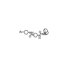 CC(=O)C1CCC(NC(=O)N2CCC(NC(=O)NC34CC5CC(CC(C5)C3)C4)CC2)CC1